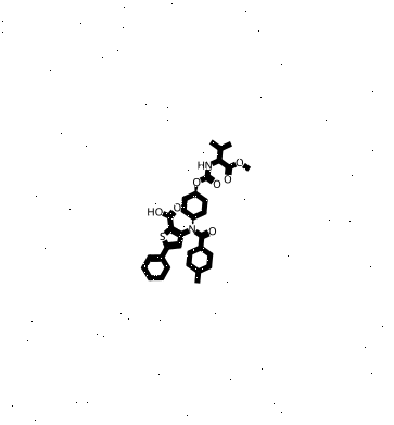 COC(=O)C(NC(=O)O[C@H]1CC[C@H](N(C(=O)C2CCC(C)CC2)c2cc(C3=CCCCC3)sc2C(=O)O)CC1)C(C)C